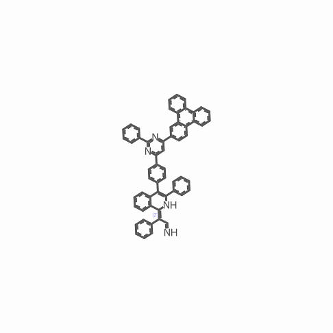 N=C/C(=C1\NC(c2ccccc2)=C(c2ccc(-c3cc(-c4ccc5c6ccccc6c6ccccc6c5c4)nc(-c4ccccc4)n3)cc2)c2ccccc21)c1ccccc1